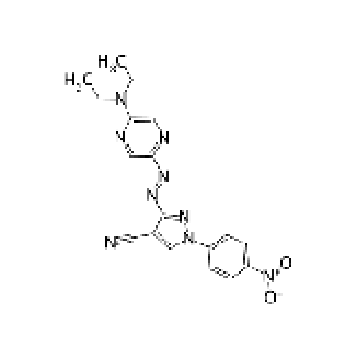 CCN(CC)c1cnc(N=Nc2nn(-c3ccc([N+](=O)[O-])cc3)cc2C#N)cn1